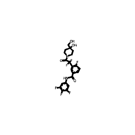 O=C(Nc1cc(F)c(F)c(F)c1)c1ccc(F)c(C(F)(F)C(=O)N2CCC(O)(CO)CC2)c1